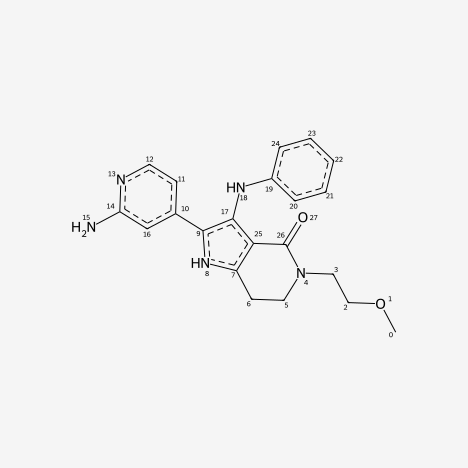 COCCN1CCc2[nH]c(-c3ccnc(N)c3)c(Nc3ccccc3)c2C1=O